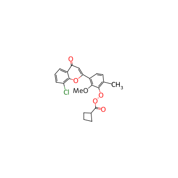 COc1c(-c2cc(=O)c3cccc(Cl)c3o2)ccc(C)c1OOC(=O)C1CCC1